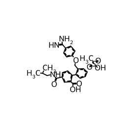 CC(C)CNC(=O)c1ccc(-c2ccccc2COc2ccc(C(=N)N)cc2)c(C(=O)O)c1.CS(=O)(=O)O